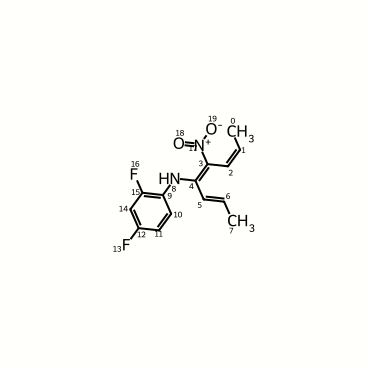 C\C=C/C(=C(\C=C\C)Nc1ccc(F)cc1F)[N+](=O)[O-]